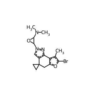 Cc1c(Br)oc2c1-c1nn(C3OC3N(C)C)cc1C1(CC1)C2